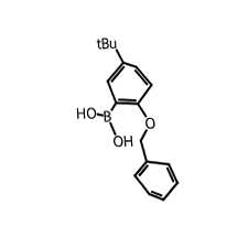 CC(C)(C)c1ccc(OCc2ccccc2)c(B(O)O)c1